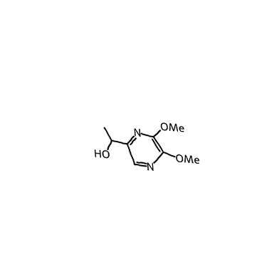 COc1ncc(C(C)O)nc1OC